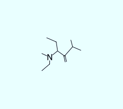 C=C(C(C)C)C(CC)N(C)CC